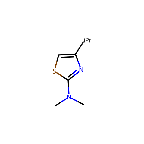 CC(C)c1csc(N(C)C)n1